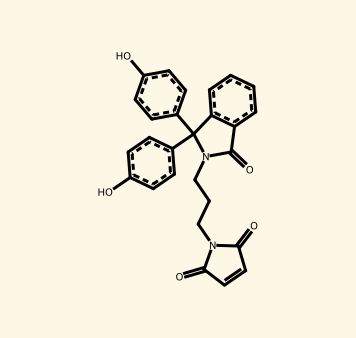 O=C1C=CC(=O)N1CCCN1C(=O)c2ccccc2C1(c1ccc(O)cc1)c1ccc(O)cc1